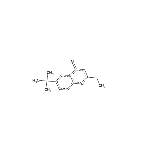 CCc1cc(=O)n2cc(C(C)(C)C)ccc2n1